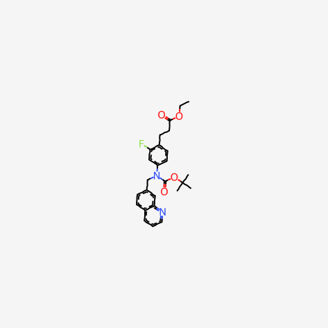 CCOC(=O)CCc1ccc(N(Cc2ccc3cccnc3c2)C(=O)OC(C)(C)C)cc1F